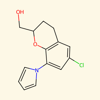 OCC1CCc2cc(Cl)cc(-n3cccc3)c2O1